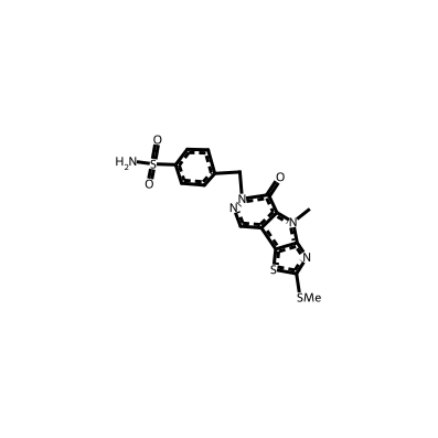 CSc1nc2c(s1)c1cnn(Cc3ccc(S(N)(=O)=O)cc3)c(=O)c1n2C